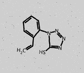 C=Cc1ccccc1-n1nnnc1S